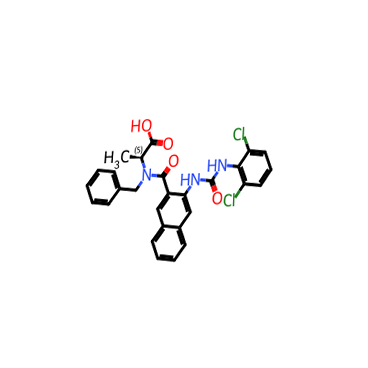 C[C@@H](C(=O)O)N(Cc1ccccc1)C(=O)c1cc2ccccc2cc1NC(=O)Nc1c(Cl)cccc1Cl